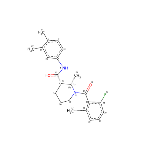 Cc1ccc(NC(=O)[C@H]2CCCN(C(=O)c3c(C)cccc3F)[C@H]2C)cc1C